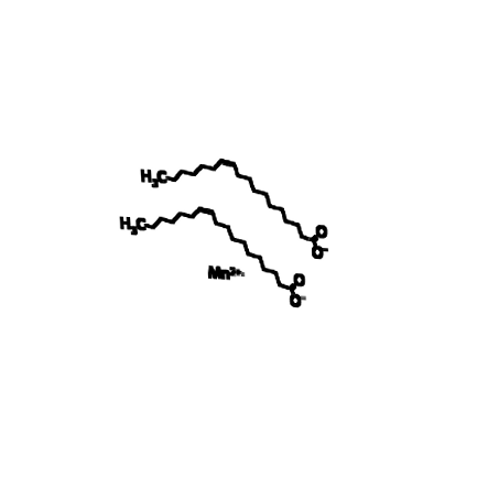 CCCCCC/C=C\CCCCCCCCCC(=O)[O-].CCCCCC/C=C\CCCCCCCCCC(=O)[O-].[Mn+2]